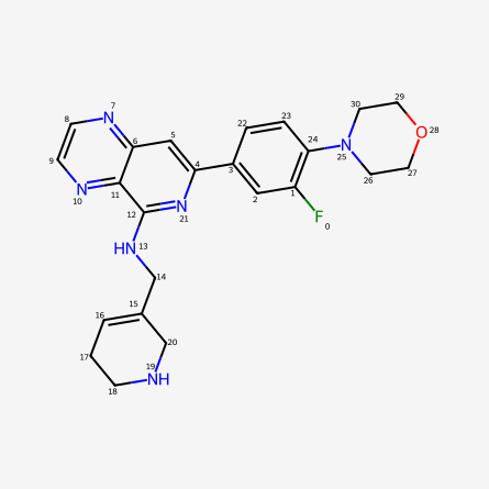 Fc1cc(-c2cc3nccnc3c(NCC3=CCCNC3)n2)ccc1N1CCOCC1